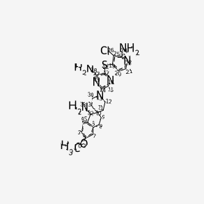 COc1ccc2c(c1)CCC1(CCN(c3cnc(Sc4ccnc(N)c4Cl)c(N)n3)CC1)[C@@H]2N